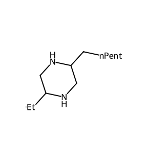 C[CH]C1CNC(CCCCCC)CN1